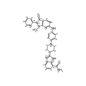 Cn1c2nc(Nc3ccc(N4CCC(c5nc6cccc(C(N)=O)c6[nH]5)CC4)cc3)ncc2c(=O)n1-c1ccccn1